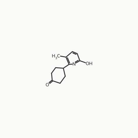 Cc1ccc(O)nc1C1CCC(=O)CC1